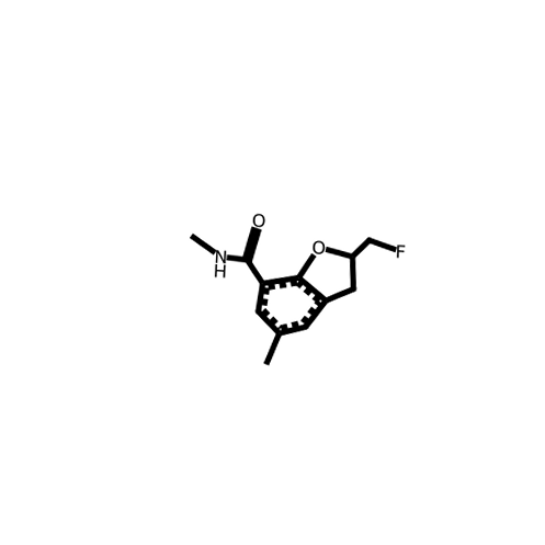 CNC(=O)c1cc(C)cc2c1OC(CF)C2